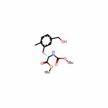 Cc1ccc(CO)cc1C[C@H](NC(=O)OC(C)(C)C)C(=O)OC(C)(C)C